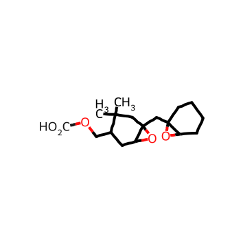 CC1(C)CC2(CC34CCCCC3O4)OC2CC1COC(=O)O